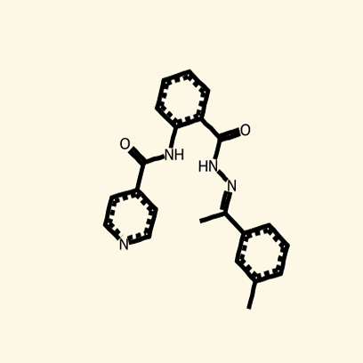 CC(=NNC(=O)c1ccccc1NC(=O)c1ccncc1)c1cccc(C)c1